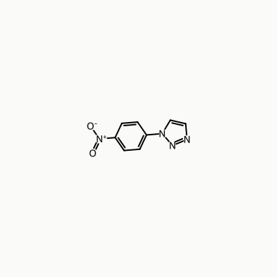 O=[N+]([O-])c1ccc(-n2ccnn2)cc1